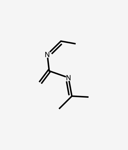 C=C(N=C(C)C)/N=C\C